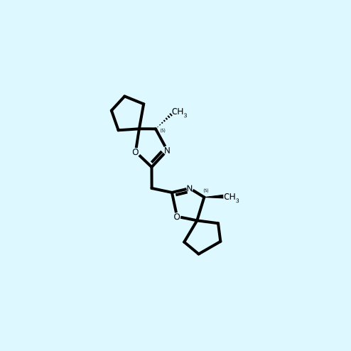 C[C@@H]1N=C(CC2=N[C@@H](C)C3(CCCC3)O2)OC12CCCC2